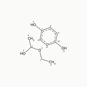 CCOC(C)O.Oc1ccc(O)cc1